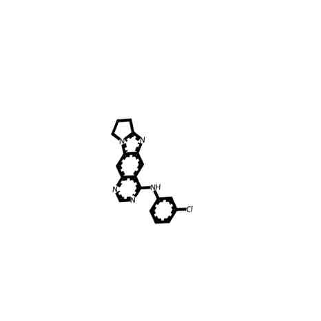 Clc1cccc(Nc2ncnc3cc4c(cc23)nc2n4CCC2)c1